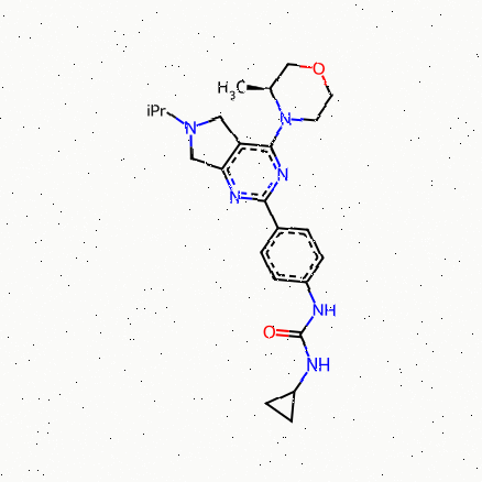 CC(C)N1Cc2nc(-c3ccc(NC(=O)NC4CC4)cc3)nc(N3CCOC[C@@H]3C)c2C1